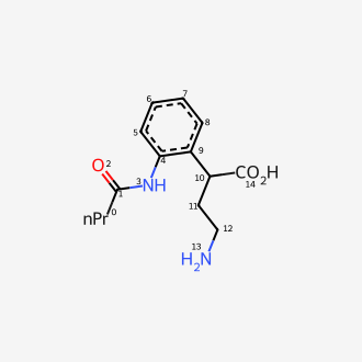 CCCC(=O)Nc1ccccc1C(CCN)C(=O)O